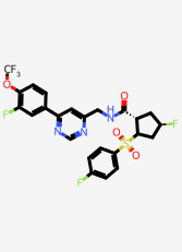 O=C(NCc1cc(-c2ccc(OC(F)(F)F)c(F)c2)ncn1)[C@@H]1C[C@@H](F)CC1S(=O)(=O)c1ccc(F)cc1